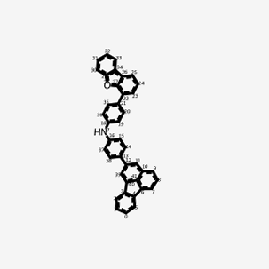 c1ccc2c(c1)-c1cccc3cc(-c4ccc(Nc5ccc(-c6cccc7c6oc6ccccc67)cc5)cc4)cc-2c13